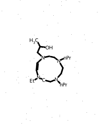 CCCN1CCN(CC)/C=C\N(CC(C)O)CCN(CCC)CC1